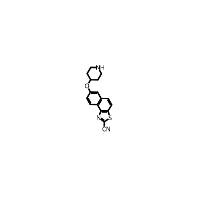 N#Cc1nc2c(ccc3cc(OC4CCNCC4)ccc32)s1